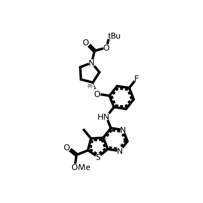 COC(=O)c1sc2ncnc(Nc3ccc(F)cc3O[C@@H]3CCN(C(=O)OC(C)(C)C)C3)c2c1C